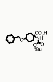 CC(C)(C)OC(=O)NC1(C(=O)O)CCC(OCc2ccccc2)CC1